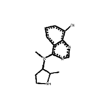 CC1NCCC1N(C)c1ncnc2c(C#N)cccc12